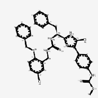 COC(=O)Nc1ccc(-c2nc([C@H](Cc3ccccc3)NC(=O)NCc3cc(Cl)ccc3SCc3ccccc3)[nH]c2Cl)cc1